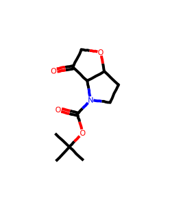 CC(C)(C)OC(=O)N1CCC2OCC(=O)C21